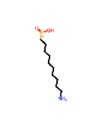 NCCCCCCCCCC[PH](=O)O